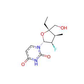 CC[C@]1(CO)O[C@@H](n2ccc(=O)[nH]c2=O)[C@H](F)[C@@H]1C